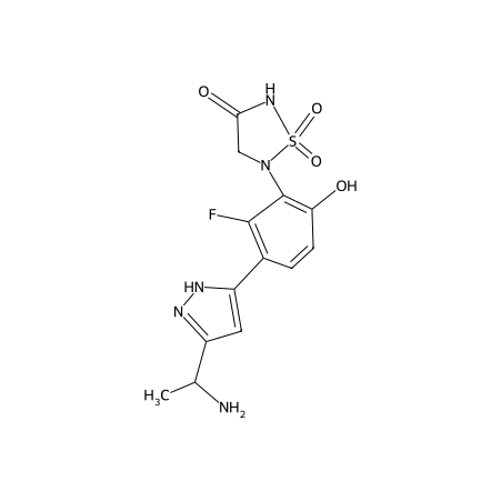 CC(N)c1cc(-c2ccc(O)c(N3CC(=O)NS3(=O)=O)c2F)[nH]n1